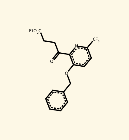 CCOC(=O)CCC(=O)c1nc(C(F)(F)F)ccc1OCc1ccccc1